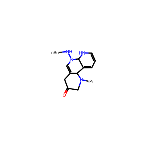 CCCCNN1C=C2CC(=O)CN(C(C)C)C2C2=CC=CNC21